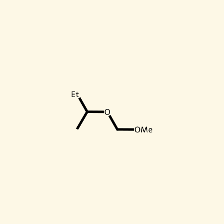 CCC(C)OCOC